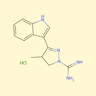 CC1CN(C(=N)N)N=C1c1c[nH]c2ccccc12.Cl